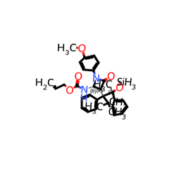 C=CCOC(=O)N[C@H]1[C@@H](C(c2ccccc2)(C(C)(C)C)[C@@](C)(O[SiH3])c2ccccc2)C(=O)N1c1ccc(OC)cc1